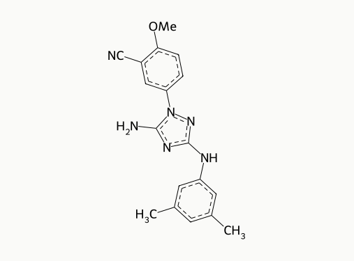 COc1ccc(-n2nc(Nc3cc(C)cc(C)c3)nc2N)cc1C#N